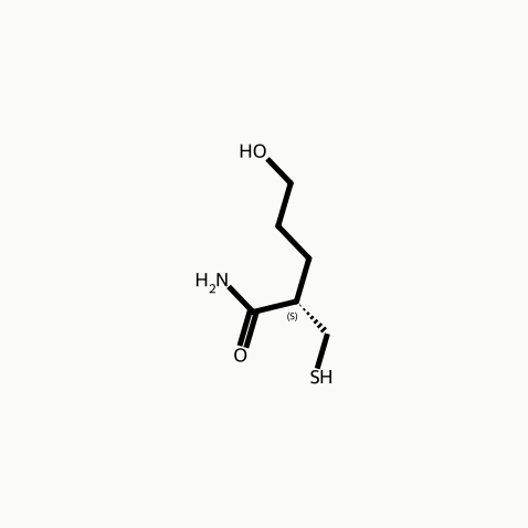 NC(=O)[C@@H](CS)CCCO